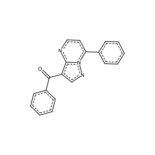 O=C(c1ccccc1)c1cnn2c(-c3ccccc3)ccnc12